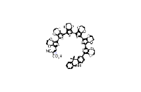 CC1(C)c2ccccc2Nc2ccc(-c3sc(-c4sc(-c5sc(-c6sc(-c7sc(-c8sc(/C=C(\C#N)C(=O)O)c9c8OCCO9)c8c7OCCO8)c7c6OCCO7)c6c5OCCO6)c5c4OCCO5)c4c3OCCO4)cc21